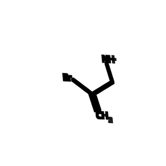 C=C(Br)C[NH]